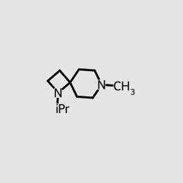 CC(C)N1CCC12CCN(C)CC2